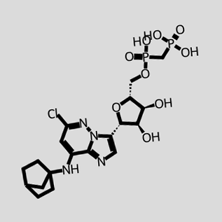 O=P(O)(O)CP(=O)(O)OC[C@H]1O[C@@H](c2cnc3c(NC45CCC(CC4)C5)cc(Cl)nn23)[C@H](O)[C@@H]1O